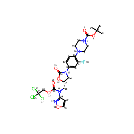 CC(C)(C)OC(=O)N1CCN(c2ccc(N3C[C@H](CN(C(=O)OCC(Cl)(Cl)Cl)c4ccon4)OC3=O)cc2F)CC1